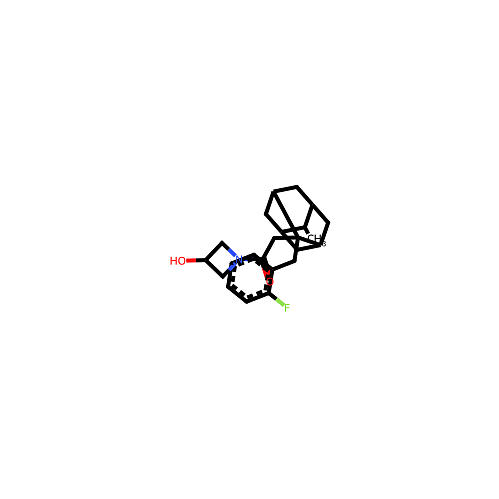 CC1C2CC3CC1CC(C2)C3(CC(=O)N1CC(O)C1)Cc1ccccc1F